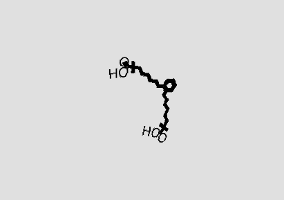 CC(C)(CCCCCCc1ccccc1CCCCCCC(C)(C)C(=O)O)C(=O)O